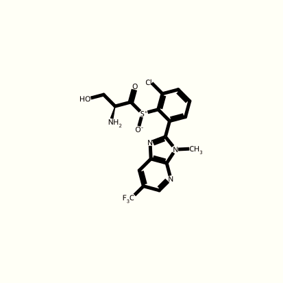 Cn1c(-c2cccc(Cl)c2[S+]([O-])C(=O)[C@@H](N)CO)nc2cc(C(F)(F)F)cnc21